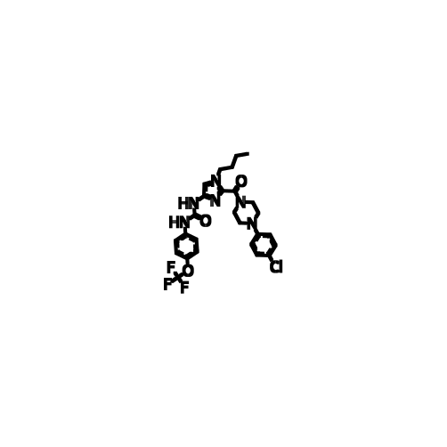 CCCCn1cc(NC(=O)Nc2ccc(OC(F)(F)F)cc2)nc1C(=O)N1CCN(c2ccc(Cl)cc2)CC1